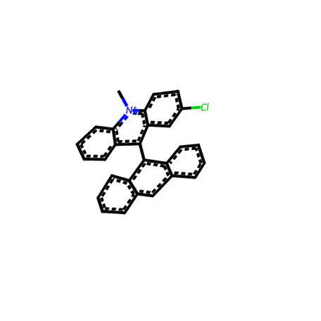 C[n+]1c2ccccc2c(-c2c3ccccc3cc3ccccc23)c2cc(Cl)ccc21